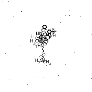 C=C(N[C@]1(C(=O)N[C@H](C(=O)NCCCCOC(=O)CN(C)C)C(C)CC)CCc2[nH]c3c(C(F)(F)F)cccc3c2C1)[C@@H](NC(=O)Cc1ccccc1F)C(C)CC